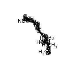 Cc1ncsc1-c1ccc([C@H](C)NC(=O)[C@@H]2C[C@@H](O)CN2C(=O)C(NC(=O)COCCCCOC2CCN(c3nccc(COc4ccc(C(C)(C)c5cc(Cl)cc(C#N)c5)cc4)n3)CC2)C(C)(C)C)cc1